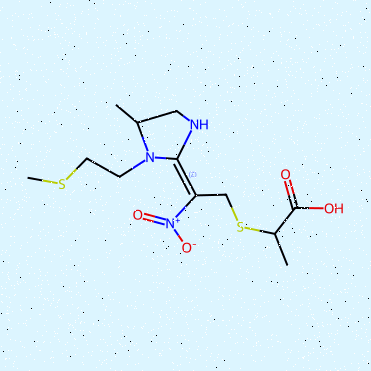 CSCCN1/C(=C(/CSC(C)C(=O)O)[N+](=O)[O-])NCC1C